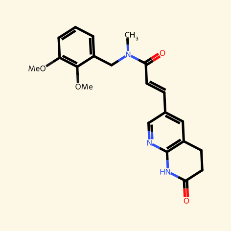 COc1cccc(CN(C)C(=O)/C=C/c2cnc3c(c2)CCC(=O)N3)c1OC